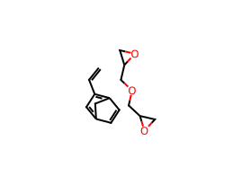 C(OCC1CO1)C1CO1.C=CC1=C2C=CC(=C1)C2